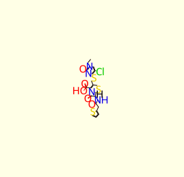 CCn1cc(Cl)c(SCC2=C(C(=O)O)N3C(=O)[C@@H](NC(=O)Cc4cccs4)[C@@H]3SC2)nc1=O